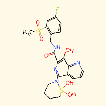 CS(=O)(=O)c1cc(F)ccc1CNC(=O)c1nc(N2CCCCS2(O)O)c2cccnc2c1O